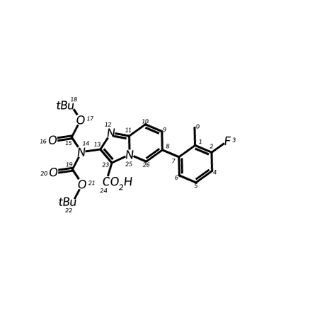 Cc1c(F)cccc1-c1ccc2nc(N(C(=O)OC(C)(C)C)C(=O)OC(C)(C)C)c(C(=O)O)n2c1